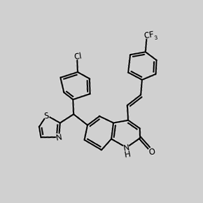 O=c1cc(C=Cc2ccc(C(F)(F)F)cc2)c2cc(C(c3ccc(Cl)cc3)c3nccs3)ccc2[nH]1